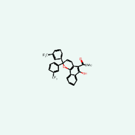 COC(=O)c1c2c(c3ccccc3c1O)OC(c1cccc(C(F)(F)F)c1)(c1cccc(C(F)(F)F)c1)C=C2